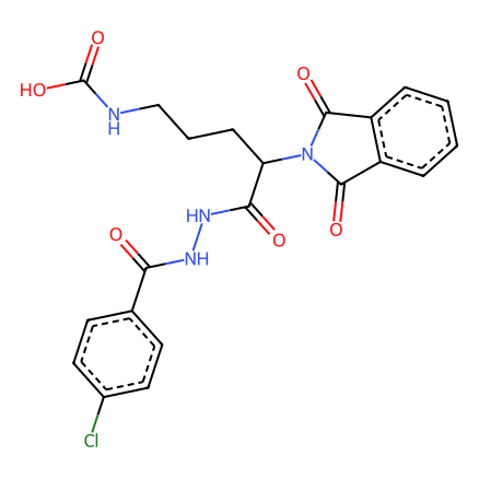 O=C(O)NCCCC(C(=O)NNC(=O)c1ccc(Cl)cc1)N1C(=O)c2ccccc2C1=O